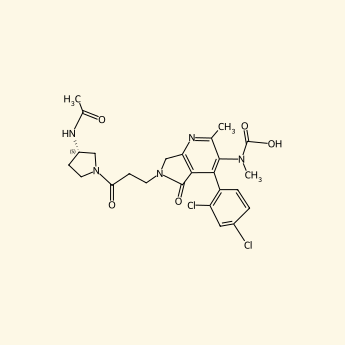 CC(=O)N[C@H]1CCN(C(=O)CCN2Cc3nc(C)c(N(C)C(=O)O)c(-c4ccc(Cl)cc4Cl)c3C2=O)C1